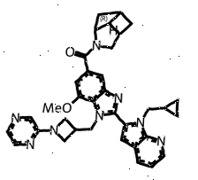 COc1cc(C(=O)N2CC3CC4CC2[C@H]43)cc2nc(-c3cc4cccnc4n3CC3CC3)n(CC3CN(c4cnccn4)C3)c12